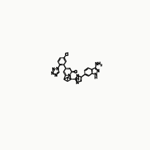 Nc1n[nH]c2cc(-c3cnc(C45C6C(c7cc(-c8cc(Cl)ccc8-n8cnnn8)cc(=O)n74)C65)[nH]3)ccc12